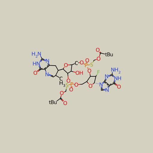 CC1C=Nc2c(nc(N)[nH]c2=O)CC1C1OC2COP(=O)(SCOC(=O)C(C)(C)C)OC3C(COP(=O)(SCOC(=O)C(C)(C)C)OC1C2O)O[C@@H](n1cnc2c(=O)[nH]c(N)nc21)C3F